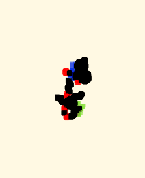 CCCc1cc2c(c(CCC)c1OCCCCN1C(=O)NC(C3=CCCC=C3)(c3ccc(C)cc3)C1=O)OCOC/C=C\2C(F)(F)F